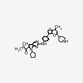 C=C1C=C(N2CCNCC2)Oc2c(-c3ccc(Nc4ncc5cc(C(=O)N(C)C)n(C6CCCC6)c5n4)cc3)csc21